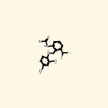 CCC(=O)Nc1cccc(C(F)F)c1COc1ccc(CC)cc1Cl